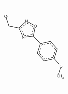 COc1ccc(-c2nc(C[O])no2)cc1